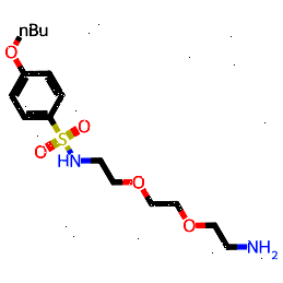 CCCCOc1ccc(S(=O)(=O)NCCOCCOCCN)cc1